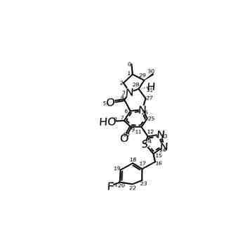 CC1CN2C(=O)c3c(O)c(=O)c(-c4nnc(CC5=CC=C(F)CC5)s4)cn3C[C@@H]2[C@@H]1C